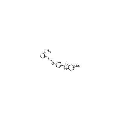 CC(=O)N1CCc2nc(-c3ccc(OCCCN4CCCC4C)cc3)sc2C1